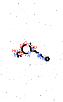 CCO[C@@H](O[C@@H]1[C@@H](C)C(=O)[C@@H](C)C(=O)O[C@H](CC)[C@@]2(C)OC(=O)N(CCCCn3cc(-c4nc5ccccc5s4)nn3)[C@@H]2[C@@H](C)NC[C@H](C)C[C@@]1(C)OC)C(O)C(CC)N(C)C